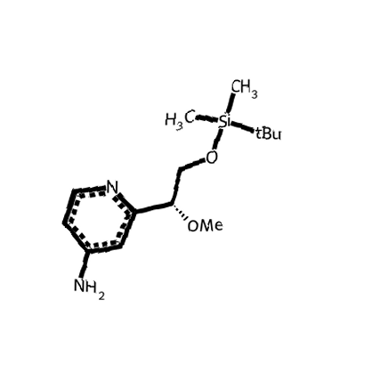 CO[C@@H](CO[Si](C)(C)C(C)(C)C)c1cc(N)ccn1